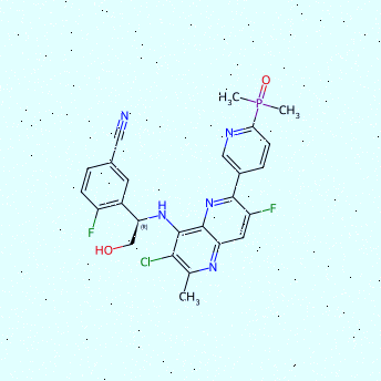 Cc1nc2cc(F)c(-c3ccc(P(C)(C)=O)nc3)nc2c(N[C@@H](CO)c2cc(C#N)ccc2F)c1Cl